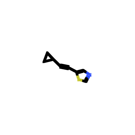 C(#CC1CC1)c1cn[c]s1